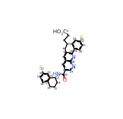 O=C(O)CCCCc1cc2cc(C(=O)N[C@@H]3CCCc4ccc(F)cc43)cnc2nc1-c1ccc(F)cc1